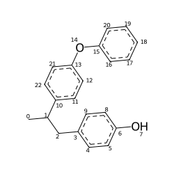 CC(Cc1ccc(O)cc1)c1ccc(Oc2ccccc2)cc1